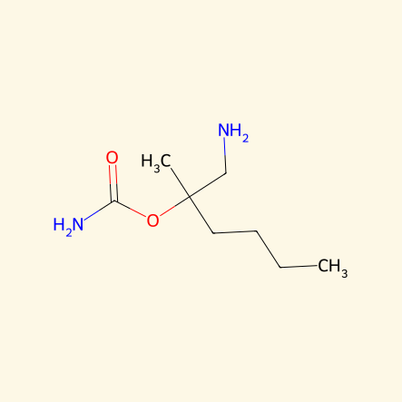 CCCCC(C)(CN)OC(N)=O